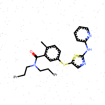 Cc1ccc(Sc2cnc(Nc3ccccn3)s2)cc1C(=O)N(CCC(C)C)CCC(C)C